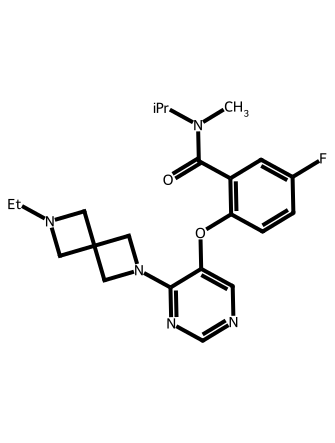 CCN1CC2(C1)CN(c1ncncc1Oc1ccc(F)cc1C(=O)N(C)C(C)C)C2